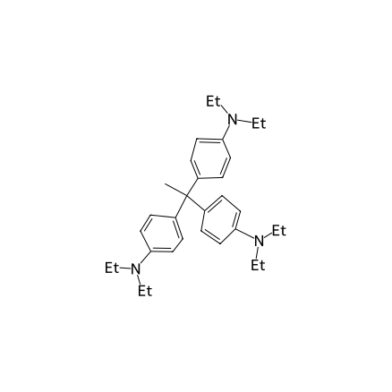 CCN(CC)c1ccc(C(C)(c2ccc(N(CC)CC)cc2)c2ccc(N(CC)CC)cc2)cc1